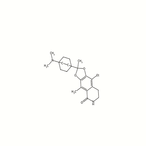 CCc1c2c(c(C)c3c1OC(C)(C14CCC(N(C)C)(CC1)CC4)O3)C(=O)NCC2